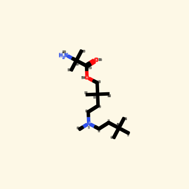 CN(CCC(C)(C)C)CCC(C)(C)COC(=O)C(C)(C)N